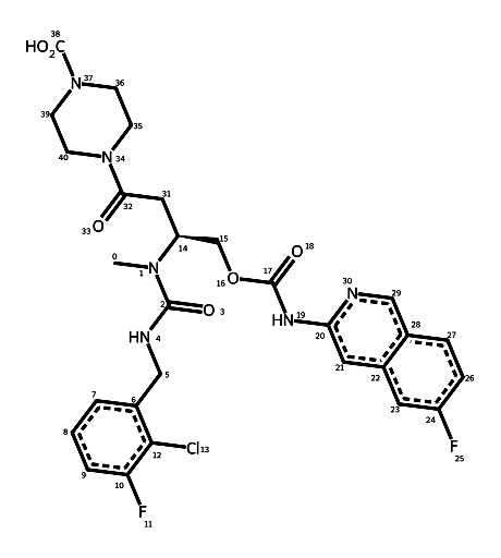 CN(C(=O)NCc1cccc(F)c1Cl)[C@H](COC(=O)Nc1cc2cc(F)ccc2cn1)CC(=O)N1CCN(C(=O)O)CC1